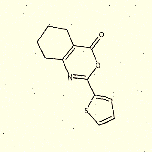 O=c1oc(-c2cccs2)nc2c1CCCC2